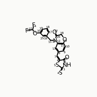 O=C1NC(=S)S/C1=C/c1ccc2c(c1)N(Cc1cccc(OC(F)F)c1)C(=O)CO2